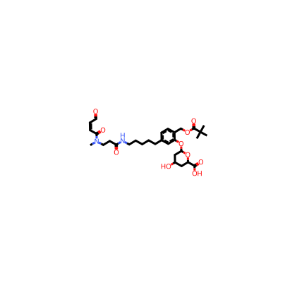 CN(CCC(=O)NCCCCCc1ccc(COC(=O)C(C)(C)C)c(OC2CC(O)CC(C(=O)O)O2)c1)C(=O)/C=C\C=O